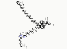 CCCCC/C=C\C/C=C\CCCCCCCCC1(CCCCCCCCCCCCCCCCCC)O[C@H]2C[C@H](NC)C[C@H]2O1